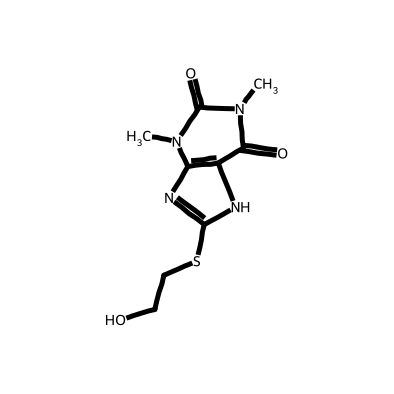 Cn1c(=O)c2[nH]c(SCCO)nc2n(C)c1=O